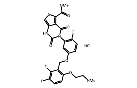 CNCCOc1ccc(F)c(F)c1COc1ccc(F)c(-n2c(=O)[nH]c3csc(C(=O)OC)c3c2=O)c1.Cl